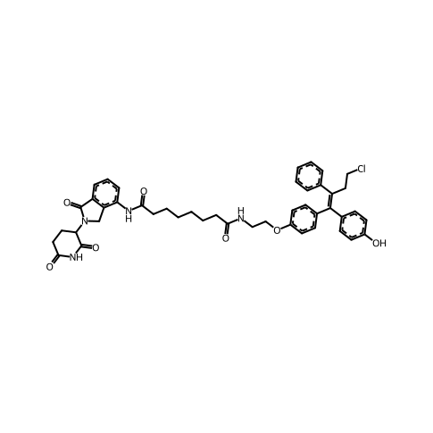 O=C(CCCCCCC(=O)Nc1cccc2c1CN(C1CCC(=O)NC1=O)C2=O)NCCOc1ccc(C(=C(CCCl)c2ccccc2)c2ccc(O)cc2)cc1